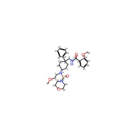 COCCN(C1CCC(CNC(=O)c2ccccc2OC)(c2ccccc2)CC1)[S+]([O-])N1CCOCC1